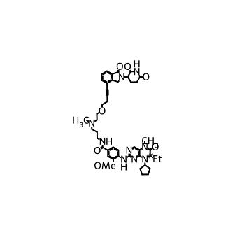 CC[C@@H]1C(=O)N(C)c2cnc(Nc3ccc(C(=O)NCCCN(C)CCOCCC#Cc4cccc5c4CN(C4CCC(=O)NC4=O)C5=O)cc3OC)nc2N1C1CCCC1